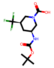 CC(C)(C)OC(=O)N[C@H]1C[C@@H](C(F)(F)F)CN(C(=O)O)C1